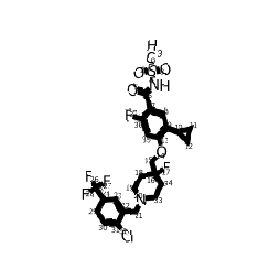 CS(=O)(=O)NC(=O)c1cc(C2CC2)c(OCC2(F)CCN(CC3=CC(C(F)(F)F)CC=C3Cl)CC2)cc1F